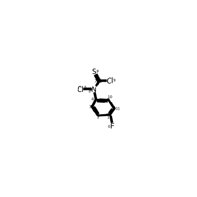 Fc1ccc(N(Cl)C(=S)Cl)cc1